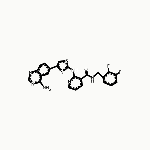 Nc1ncnc2ccc(-c3csc(Nc4ncccc4C(=O)NCc4cccc(F)c4F)n3)cc12